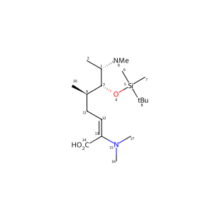 CN[C@@H](C)[C@H](O[Si](C)(C)C(C)(C)C)[C@H](C)C/C=C(\C(=O)O)N(C)C